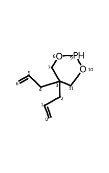 C=CCC1(CC=C)COPOC1